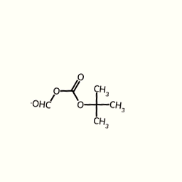 CC(C)(C)OC(=O)O[C]=O